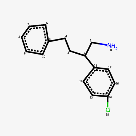 NCC(CCc1ccccc1)c1ccc(Cl)cc1